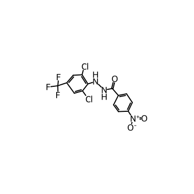 O=C(NNc1c(Cl)cc(C(F)(F)F)cc1Cl)c1ccc([N+](=O)[O-])cc1